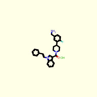 Cl.NCc1ccc(F)c(C2CCN(C(=O)c3cn(C=Cc4ccccc4)c4ccccc34)CC2)c1